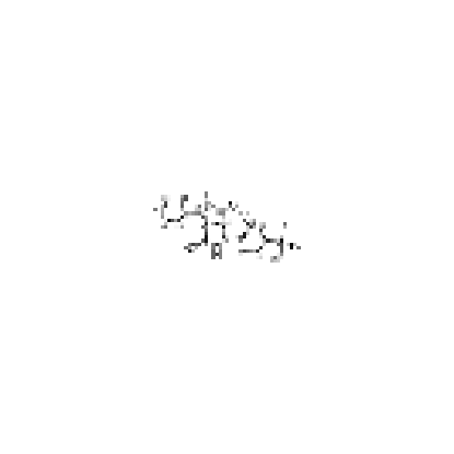 O=C1NC(c2ccc(C(F)(F)F)cc2F)=C2C(=O)NC(c3ccccc3)=C12